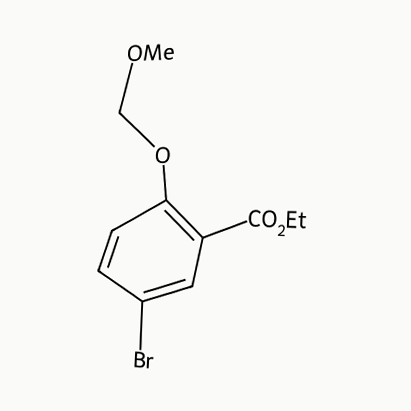 CCOC(=O)c1cc(Br)ccc1OCOC